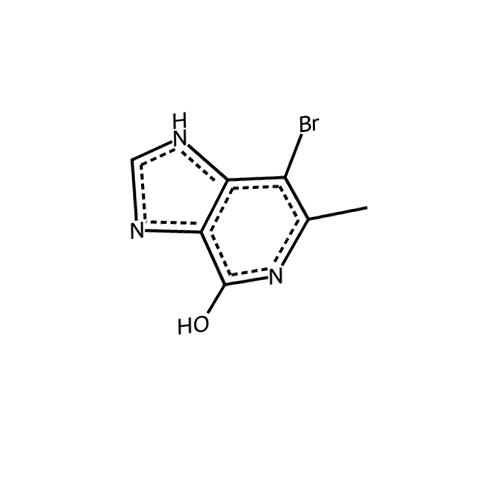 Cc1nc(O)c2nc[nH]c2c1Br